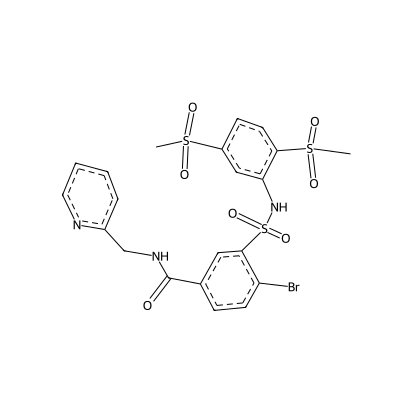 CS(=O)(=O)c1ccc(S(C)(=O)=O)c(NS(=O)(=O)c2cc(C(=O)NCc3ccccn3)ccc2Br)c1